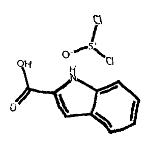 O=C(O)c1cc2ccccc2[nH]1.[O-][S+](Cl)Cl